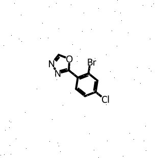 Clc1ccc(-c2nnco2)c(Br)c1